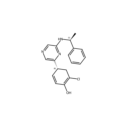 C[C@H](Nc1cncc([C@H]2C=CC(O)=C(Cl)C2)n1)c1ccccc1